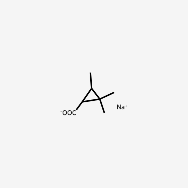 CC1C(C(=O)[O-])C1(C)C.[Na+]